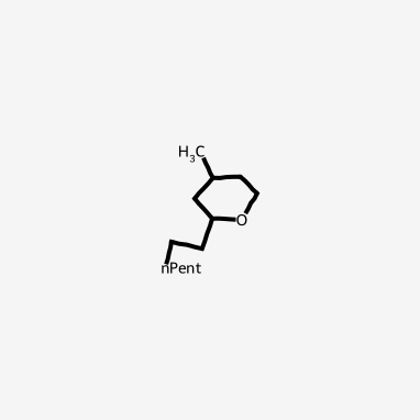 CCCCCCCC1CC(C)CCO1